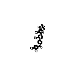 CCC1CN(c2ncc(NS(C)(=O)=O)cc2Cl)CCN1C1CCN(C(=O)c2ccc(Cl)c(Cl)c2)CC1